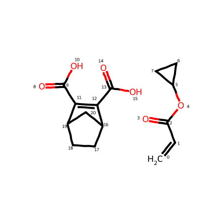 C=CC(=O)OC1CC1.O=C(O)C1=C(C(=O)O)C2CCC1C2